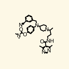 Cc1ncnc(C)c1C(=O)NCCC(C)N1CCC(N(Cc2cccc(C#N)c2)c2ccc(OC(=O)N(C)C)cc2)CC1